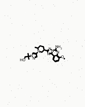 COc1cccc2c1nc(N)n1nc(C3CCC(C)N(c4cnn(C(C)(C)CO)c4)C3)nc21